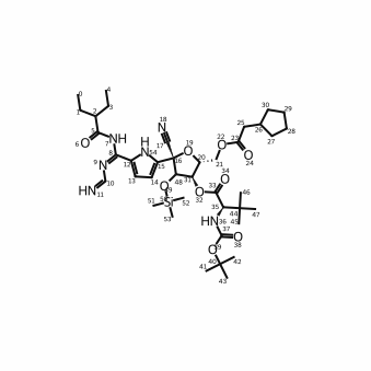 CCC(CC)C(=O)N/C(=N/C=N)c1ccc([C@]2(C#N)O[C@H](COC(=O)CC3CCCC3)[C@@H](OC(=O)[C@H](NC(=O)OC(C)(C)C)C(C)(C)C)C2O[Si](C)(C)C)[nH]1